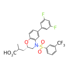 CC(C[C@H]1CN(S(=O)(=O)c2cccc(C(F)(F)F)c2)c2cc(-c3cc(F)cc(F)c3)ccc2O1)C(=O)O